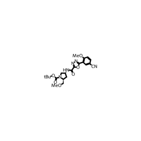 COC[C@@H]1C[C@@H](NC(=O)c2nnc(-c3cc(C#N)ccc3OC)o2)CN1C(=O)OC(C)(C)C